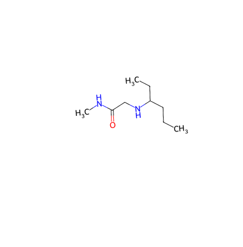 CCCC(CC)NCC(=O)NC